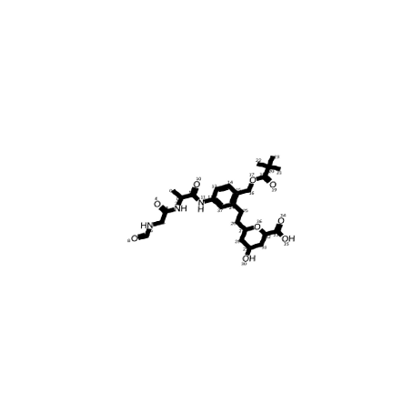 CC(NC(=O)CNC=O)C(=O)Nc1ccc(COC(=O)C(C)(C)C)c(CCC2CC(O)CC(C(=O)O)O2)c1